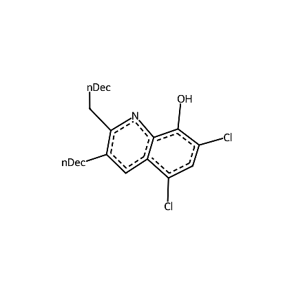 CCCCCCCCCCCc1nc2c(O)c(Cl)cc(Cl)c2cc1CCCCCCCCCC